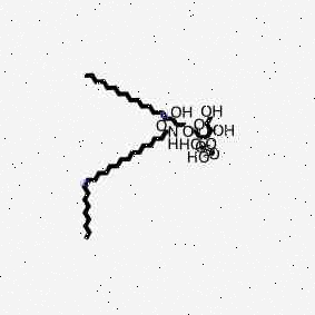 CCCCCCCC/C=C\CCCCCCCCCCCCCC(=O)NC(CO[C@@H]1OC(CO)[C@H](O)C(OS(=O)(=O)O)C1O)C(O)/C=C/CCCCCCCCCCCCC